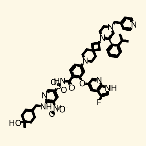 CC(C)c1ccccc1[C@@H]1CN(Cc2ccncc2)CCN1C1CC2(CCN(c3ccc(C(=O)NS(=O)(=O)c4cnc(NCC5CCC(C)(O)CC5)c([N+](=O)[O-])c4)c(Oc4cnc5[nH]cc(F)c5c4)c3)CC2)C1